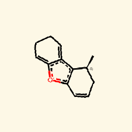 C[C@H]1CC=Cc2oc3c(c21)=CCCC=3